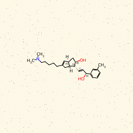 Cc1cccc([C@@H](O)/C=C/[C@@H]2[C@H]3CC(CCCCCN(C)C)=C[C@H]3C[C@H]2O)c1